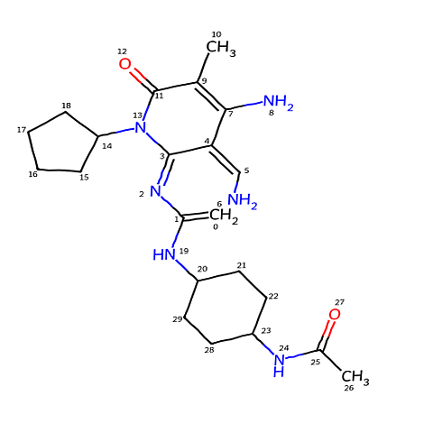 C=C(/N=C1\C(=C/N)C(N)=C(C)C(=O)N1C1CCCC1)NC1CCC(NC(C)=O)CC1